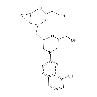 OCC1CN(c2ccc3cccc(O)c3n2)CC(OC2CC(CO)OC3OC23)O1